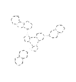 c1ccc2cc(-c3ccc4c(c3)c3ccn(-c5ccc6ccccc6c5)c3c3ccn(-c5cccc6c5sc5ccccc56)c43)ccc2c1